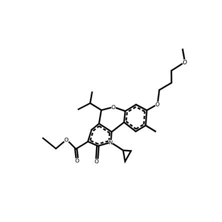 CCOC(=O)c1cc2c(n(C3CC3)c1=O)-c1cc(C)c(OCCCOC)cc1OC2C(C)C